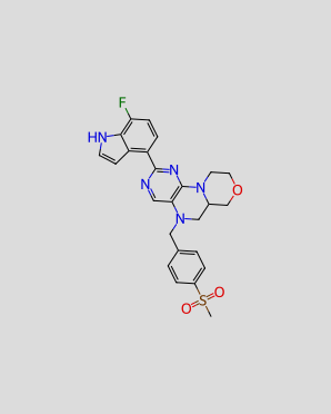 CS(=O)(=O)c1ccc(CN2CC3COCCN3c3nc(-c4ccc(F)c5[nH]ccc45)ncc32)cc1